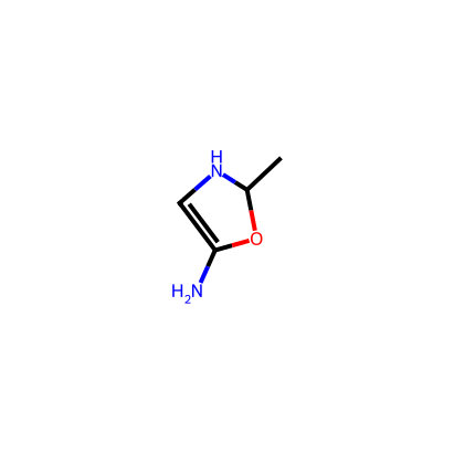 CC1NC=C(N)O1